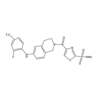 CNS(=O)(=O)c1nc(C(=O)N2CCc3cc(Nc4ccc(C(F)(F)F)cc4F)ccc3C2)cs1